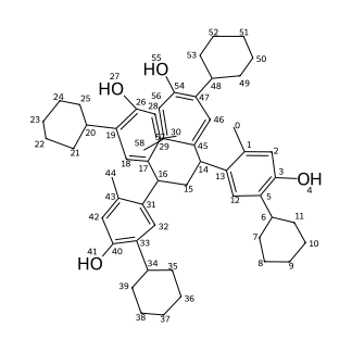 Cc1cc(O)c(C2CCCCC2)cc1C(CC(c1cc(C2CCCCC2)c(O)cc1C)c1cc(C2CCCCC2)c(O)cc1C)c1cc(C2CCCCC2)c(O)cc1C